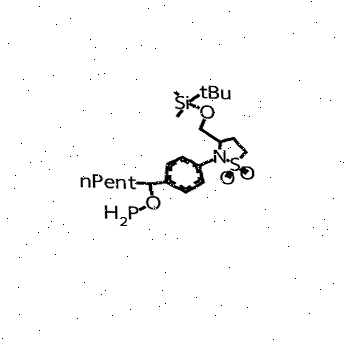 CCCCCC(OP)c1ccc(N2C(CO[Si](C)(C)C(C)(C)C)CCS2(=O)=O)cc1